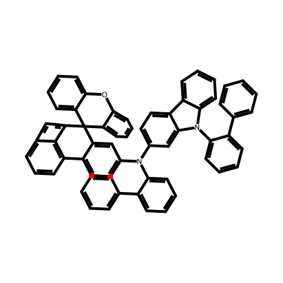 c1ccc(-c2ccccc2N(c2ccc3c(c2)C2(c4ccccc4Oc4ccccc42)c2cccc4cccc-3c24)c2ccc3c4ccccc4n(-c4ccccc4-c4ccccc4)c3c2)cc1